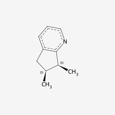 C[C@@H]1c2ncccc2C[C@@H]1C